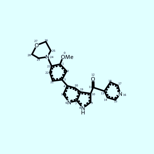 COc1cc(-c2cnc3[nH]cc(C(=O)c4ccncc4)c3c2)ccc1N1CCOCC1